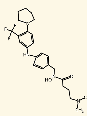 CN(C)CCCC(=O)N(O)Cc1ccc(Nc2ccc(N3CCCCC3)c(C(F)(F)F)c2)cc1